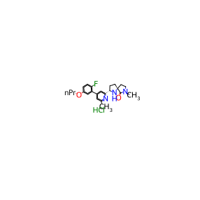 CCCOc1ccc(F)c(-c2cc(C)nc([C@@H]3CC[C@]4(CCN(C)C4=O)N3)c2)c1.Cl